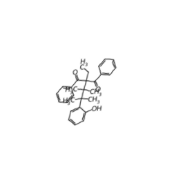 CCC(C(=O)c1ccccc1)(C(=O)c1ccccc1)C(C)(C)C(C)(C)c1ccccc1O